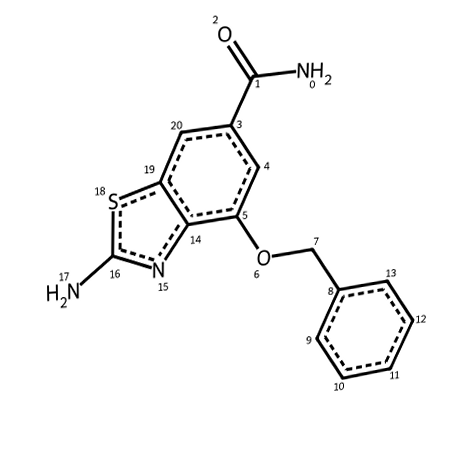 NC(=O)c1cc(OCc2ccccc2)c2nc(N)sc2c1